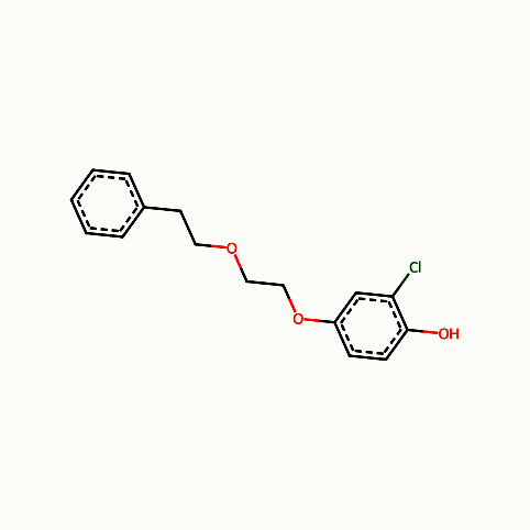 Oc1ccc(OCCOCCc2ccccc2)cc1Cl